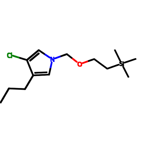 CCCc1cn(COCC[Si](C)(C)C)cc1Cl